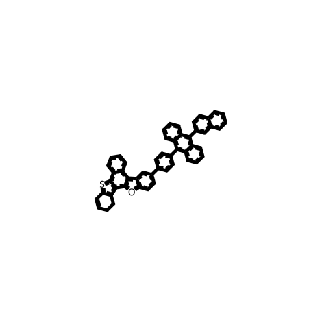 C1=Cc2sc3c4ccccc4c4c5cc(-c6ccc(-c7c8ccccc8c(-c8ccc9ccccc9c8)c8ccccc78)cc6)ccc5oc4c3c2CC1